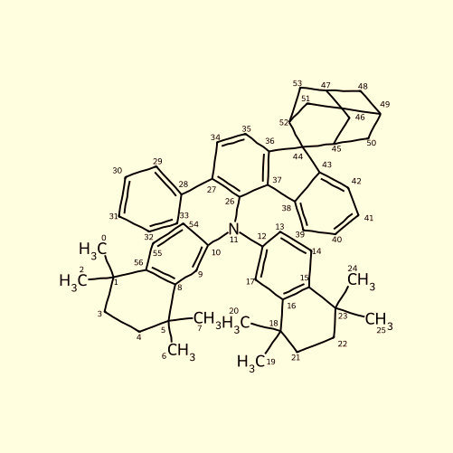 CC1(C)CCC(C)(C)c2cc(N(c3ccc4c(c3)C(C)(C)CCC4(C)C)c3c(-c4ccccc4)ccc4c3-c3ccccc3C43C4CC5CC(C4)CC3C5)ccc21